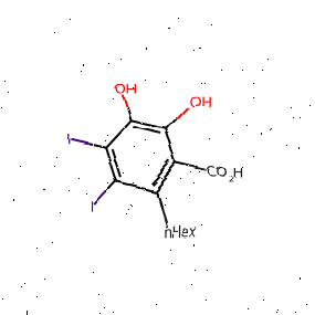 CCCCCCc1c(I)c(I)c(O)c(O)c1C(=O)O